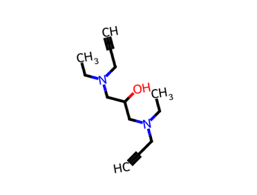 C#CCN(CC)CC(O)CN(CC)CC#C